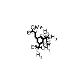 CCC(C)(C)c1cc(C=CC(=O)OC)cc(C(C)(C)CC)c1O